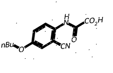 CCCCOc1ccc(NC(=O)C(=O)O)c(C#N)c1